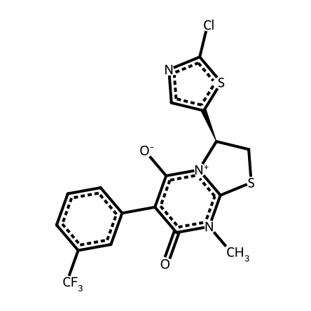 Cn1c2[n+](c([O-])c(-c3cccc(C(F)(F)F)c3)c1=O)[C@@H](c1cnc(Cl)s1)CS2